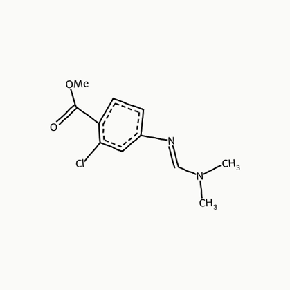 COC(=O)c1ccc(/N=C/N(C)C)cc1Cl